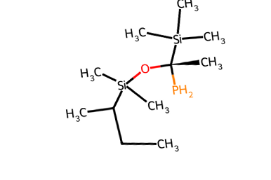 CCC(C)[Si](C)(C)O[C@@](C)(P)[Si](C)(C)C